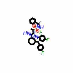 C/C(=C\C(=N)C1=C(Nc2ccc(F)cc2F)C(Cc2ccc(F)cc2)CCCC1)S(=O)(=O)N[C@@H](C)c1ccccc1